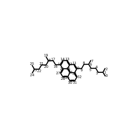 CC(C)CCCC(C)CCc1cc2ccc(CCC(C)CCCC(C)C)c3ccc4cccc1c4c23